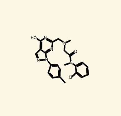 Cc1ccc(-n2ncc3c(O)nc(CN(C)CC(=O)N(C)c4ccccc4Cl)nc32)cc1